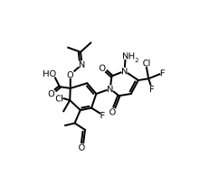 CC(C)=NOC1(C(=O)O)C=C(n2c(=O)cc(C(F)(F)Cl)n(N)c2=O)C(F)=C(C(C)C=O)C1(C)Cl